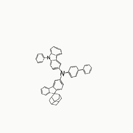 c1ccc(-c2ccc(N(c3ccc4c(c3)-c3ccccc3C43C4CC5CC(C4)CC3C5)c3ccc4c(c3)c3ccccc3n4-c3ccccc3)cc2)cc1